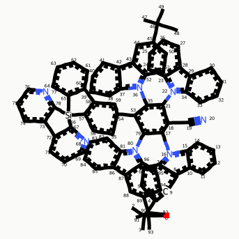 CC(C)(C)c1ccc2c(c1)c1ccccc1n2-c1c(C#N)c(-n2c3ccccc3c3ccccc32)c(-n2c3ccccc3c3cc(C(C)(C)C)ccc32)c(-c2ccc3c(c2)-c2ccccc2[Si]32c3ncccc3-c3cccnc32)c1-n1c2ccccc2c2cc(C(C)(C)C)ccc21